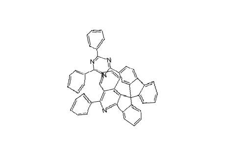 c1ccc(-c2nc(-c3ccccc3)nc(-c3ccc4c(c3)C3(c5ccccc5-4)c4ccccc4-c4nc(-c5ccccc5)c5ccccc5c43)n2)cc1